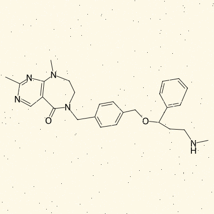 CNCCC(OCc1ccc(CN2CCN(C)c3nc(C)ncc3C2=O)cc1)c1ccccc1